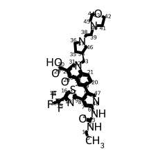 CCNC(=O)Nc1cc(-c2nc(C(F)(F)F)cs2)c(-c2ccc3c(c2)c(=O)c(C(=O)O)cn3C[C@H]2CCN(CCN3CCOCC3)C2)cn1